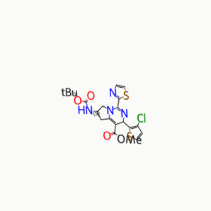 COC(=O)C1=C2C[C@H](NC(=O)OC(C)(C)C)CN2C(c2nccs2)=NC1c1sccc1Cl